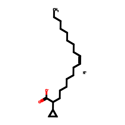 CCCCCCCC/C=C\CCCCCCC(C(=O)[O-])C1CC1.[K+]